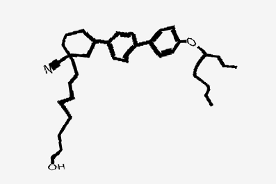 CCCCC(CCC)Oc1ccc(-c2ccc(C3CCCC(C#N)(CCCCCCCCO)C3)cc2)cc1